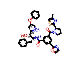 Cc1csc(C2CCCN2C(=O)c2cc(C(=O)N[C@@H](Cc3ccccc3)[C@H](O)[C@H]3C[C@@H](Oc4ccccc4)CN3)cc(-c3ncco3)c2)n1